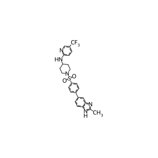 Cc1nc2cc(-c3ccc(S(=O)(=O)N4CCC(Nc5ccc(C(F)(F)F)cn5)CC4)cc3)ccc2[nH]1